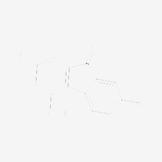 O=C1c2[c]c(F)cc(C(=O)O)c2-c2ccc(F)cc21